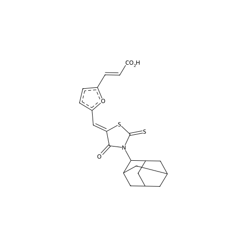 O=C(O)C=Cc1ccc(C=C2SC(=S)N(C3C4CC5CC(C4)CC3C5)C2=O)o1